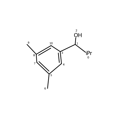 [CH2]C(C)C(O)c1cc(C)cc(C)c1